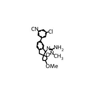 [C-]#[N+]c1cc(Cl)cc(-c2ccc3c(c2)C2(N=C(N)N(C)O2)C2(CCC(OC)CC2)C3)c1